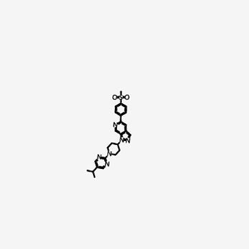 CC(C)c1cnc(N2CCC(n3ncc4cc(-c5ccc(S(C)(=O)=O)cc5)ncc43)CC2)nc1